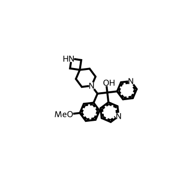 COc1cccc(C(N2CCC3(CC2)CNC3)C(O)(c2cccnc2)c2cccnc2)c1